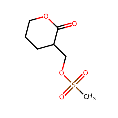 CS(=O)(=O)OCC1CCCOC1=O